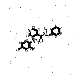 O=C(NCc1ccccc1)c1ccncc1Nc1ccc(I)cc1F